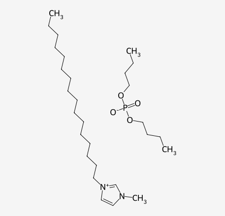 CCCCCCCCCCCCCCCC[n+]1ccn(C)c1.CCCCOP(=O)([O-])OCCCC